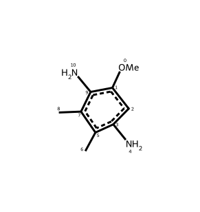 COc1cc(N)c(C)c(C)c1N